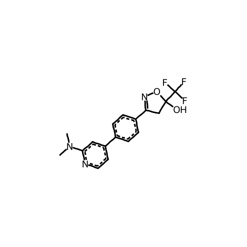 CN(C)c1cc(-c2ccc(C3=NOC(O)(C(F)(F)F)C3)cc2)ccn1